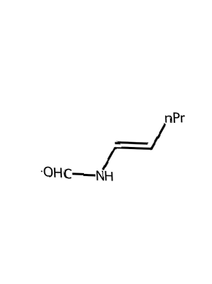 CCC/C=C/N[C]=O